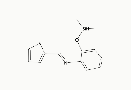 C[SiH](C)Oc1ccccc1N=Cc1cccs1